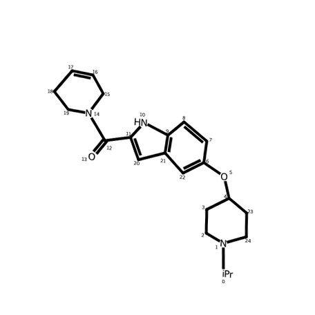 CC(C)N1CCC(Oc2ccc3[nH]c(C(=O)N4CC=CCC4)cc3c2)CC1